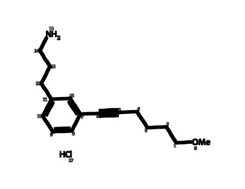 COCCCCC#Cc1cccc(CCCN)c1.Cl